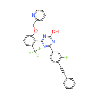 Oc1nc(-c2ccc(C#Cc3ccccc3)c(F)c2)nc(-c2c(OCc3ccccn3)cccc2C(F)(F)F)n1